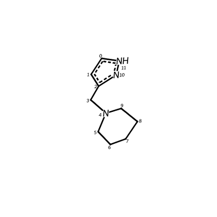 c1cc(CN2CCCCC2)n[nH]1